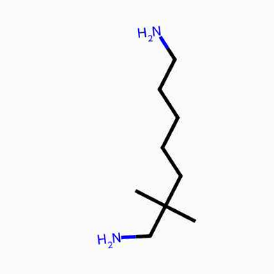 CC(C)(CN)CCCCCN